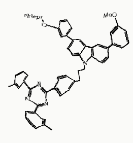 CCCCCCCOc1cccc(-c2ccc3c(c2)c2cc(-c4cccc(OC)c4)ccc2n3CCCc2ccc(-c3nc(-c4cccc(C)c4)nc(-c4cccc(C)c4)n3)cc2)c1